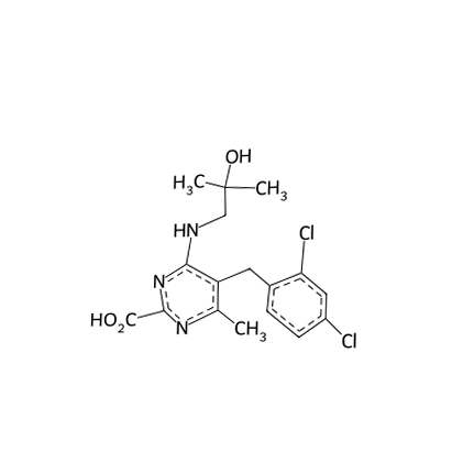 Cc1nc(C(=O)O)nc(NCC(C)(C)O)c1Cc1ccc(Cl)cc1Cl